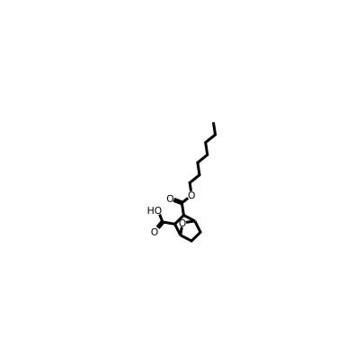 CCCCCCCOC(=O)C1C2CCC(O2)C1C(=O)O